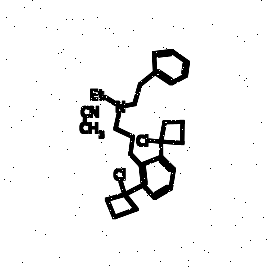 CC#N.CCN(CCCc1c(C2(Cl)CCC2)cccc1C1(Cl)CCC1)CCc1ccccc1